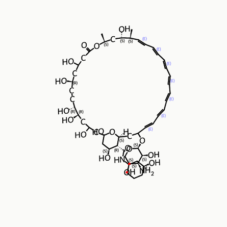 C[C@H]1C[C@H](O)[C@@H](C)/C=C/C=C/C=C/C=C/C=C/C=C/C=C/C(O[C@@H]2OC[C@@H](O)[C@H](N)[C@@H]2O)C[C@@H]2OC(O)(CC(O)C[C@@H](O)[C@H](O)CC[C@@H](O)CC(O)CC(=O)O1)C[C@H](O)[C@H]2C(=O)NC1CCC[C@H](O)C1